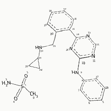 CS(N)(=O)=O.c1ccc(Nc2ncnc(-c3ccccc3CNC3CC3)n2)cc1